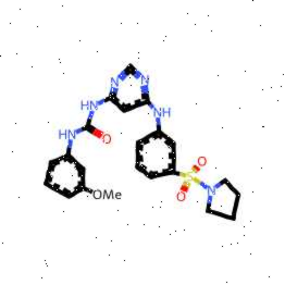 COc1cccc(NC(=O)Nc2cc(Nc3cccc(S(=O)(=O)N4CCCC4)c3)ncn2)c1